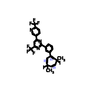 CC1(I)/C=C\C(c2cccc(-c3nc(-c4ccc(C(F)(F)F)nc4)cc(C(F)(F)F)n3)c2)=C/C(C)(I)/C=C\1